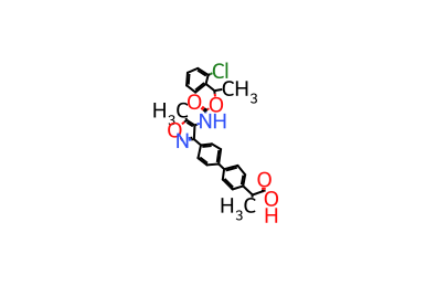 Cc1onc(-c2ccc(-c3ccc(C(C)C(=O)O)cc3)cc2)c1NC(=O)OC(C)c1ccccc1Cl